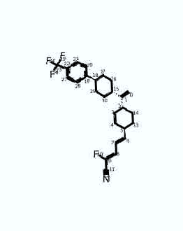 C=C([C@H]1CC[C@H](/C=C/C=C(\F)C#N)CC1)[C@H]1CC[C@H](c2ccc(C(F)(F)F)cc2)CC1